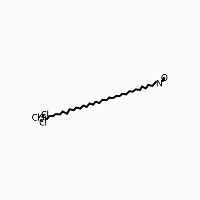 O=C=NCCCCCCCCCCCCCCCCCCCCCCCCCCCCCCCCCC[Si](Cl)(Cl)Cl